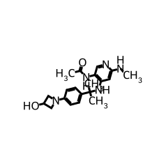 CNc1cc(NC(C)(C)c2ccc(N3CC(O)C3)cc2)c(NC(C)=O)cn1